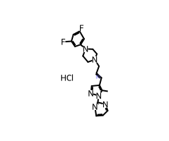 Cc1c(/C=C/CN2CCN(c3cc(F)cc(F)c3)CC2)cnn1-c1ncccn1.Cl